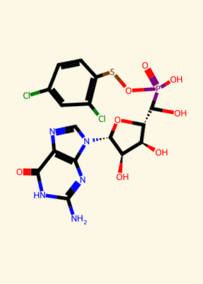 Nc1nc2c(ncn2[C@@H]2O[C@H](C(O)P(=O)(O)OSc3ccc(Cl)cc3Cl)[C@@H](O)[C@H]2O)c(=O)[nH]1